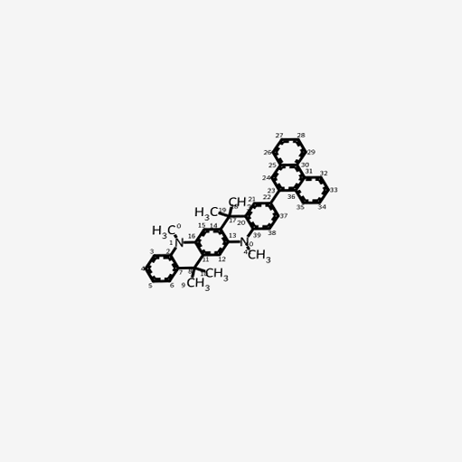 CN1c2ccccc2C(C)(C)c2cc3c(cc21)C(C)(C)c1cc(-c2cc4ccccc4c4ccccc24)ccc1N3C